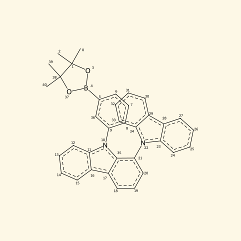 CC1(C)OB(c2cccc(-n3c4ccccc4c4cccc(-n5c6ccccc6c6ccccc65)c43)c2)OC1(C)C